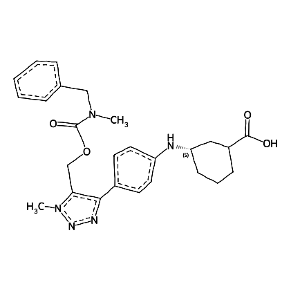 CN(Cc1ccccc1)C(=O)OCc1c(-c2ccc(N[C@H]3CCCC(C(=O)O)C3)cc2)nnn1C